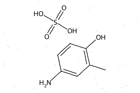 Cc1cc(N)ccc1O.O=S(=O)(O)O